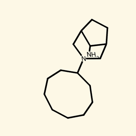 NC1C2CCC1CN(C1CCCCCCCC1)C2